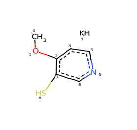 COc1ccncc1S.[KH]